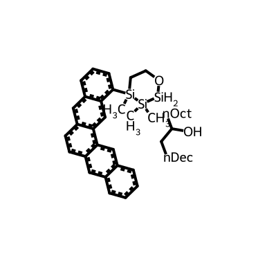 CCCCCCCCCCCC(O)CCCCCCCC.C[Si]1(C)[SiH2]OCC[Si]1(C)c1cccc2cc3ccc4cc5ccccc5cc4c3cc12